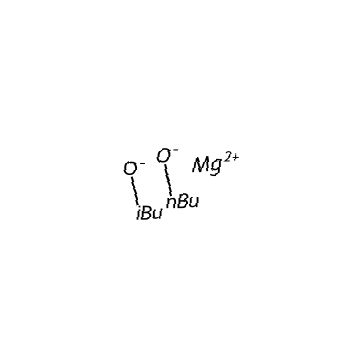 CCC(C)[O-].CCCC[O-].[Mg+2]